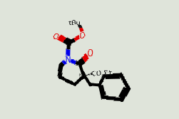 CCOC(=O)[C@]1(Cc2ccccc2)CCCN(C(=O)OC(C)(C)C)C1=O